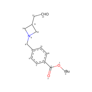 CC(C)(C)OC(=O)c1ccc(CN2CC(CC=O)C2)cc1